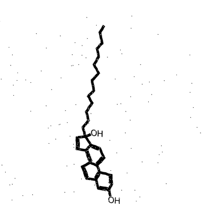 CCCCCCCCCCCCCCC1(O)C=Cc2c1ccc1c2ccc2cc(O)ccc21